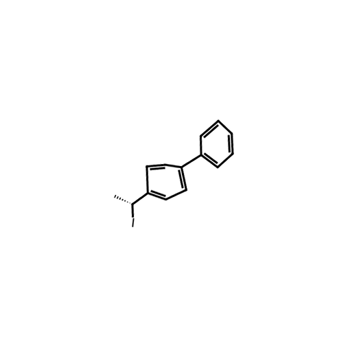 C[C@@H](I)c1ccc(-c2ccccc2)cc1